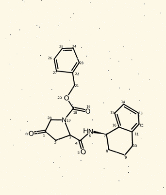 O=C1CC(C(=O)N[C@@H]2CCCc3ccccc32)N(C(=O)OCc2ccccc2)C1